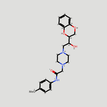 COc1ccc(NC(=O)CN2CCN(CC(O)C3COc4ccccc4O3)CC2)cc1